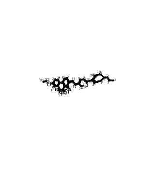 CCCC1CCC(C2CC=C(CCc3ccc4c(c3F)C(F)(F)C(F)(F)c3c-4ccc(OCC)c3F)CO2)CC1